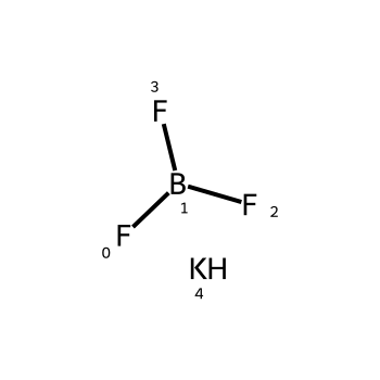 FB(F)F.[KH]